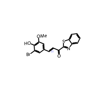 COc1cc(/C=C/C(=O)c2nc3ccccc3s2)cc(Br)c1O